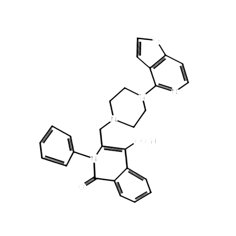 O=C(O)c1c(CN2CCN(c3nccc4occc34)CC2)n(-c2ccccc2)c(=O)c2ccccc12